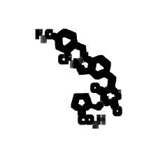 O=C1SC(=Cc2ccc3c(cnn3Cc3ccc(C(F)(F)F)cc3C(F)(F)F)c2)C(=O)N1C[C@@H]1CCCN1C(=O)O